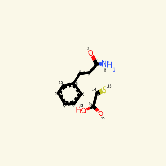 NC(=O)CCc1ccccc1.O=C(O)C=S